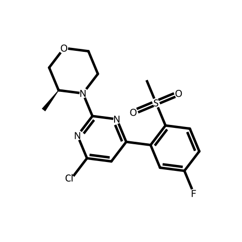 C[C@H]1COCCN1c1nc(Cl)cc(-c2cc(F)ccc2S(C)(=O)=O)n1